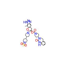 Cc1cc(C[C@@H](OC(=O)N2CCC(N3CCc4ccccc4NC3=O)CC2)C(=O)N2CCC(C3CCN(S(C)(=O)=O)CC3)CC2)cc2nn[nH]c12